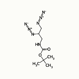 CC(C)(C)OC(=O)NCC(CN=[N+]=[N-])N=[N+]=[N-]